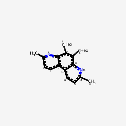 CCCCCCc1c(CCCCCC)c2nc(C)ccc2c2ccc(C)nc12